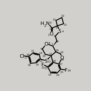 NC(=O)C1(SCC[C@@H]2OCC[C@@]3(Sc4ccc(Cl)cc4)c4c(F)ccc(F)c4OCC23)CCC1